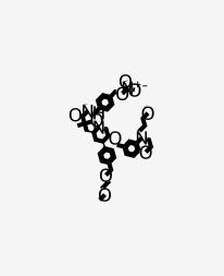 COCCCN1CCOc2ccc(CO[C@H]3CN[C@H](CC(C)(C)C(=O)N(C)C(=O)c4ccc(CO[N+](=O)[O-])cc4)C[C@@H]3c3ccc(COCCOC)cc3)cc21